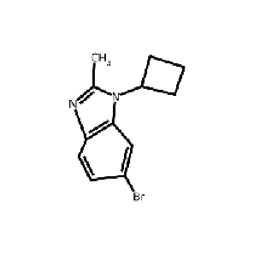 Cc1nc2ccc(Br)cc2n1C1CCC1